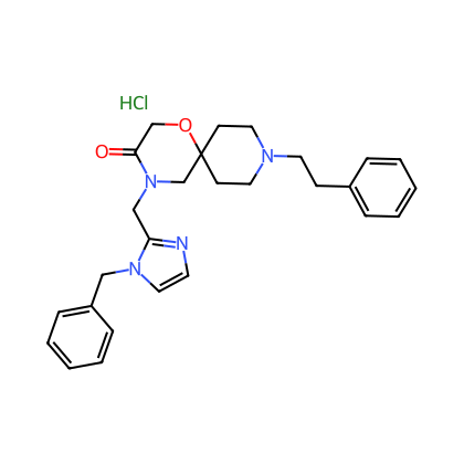 Cl.O=C1COC2(CCN(CCc3ccccc3)CC2)CN1Cc1nccn1Cc1ccccc1